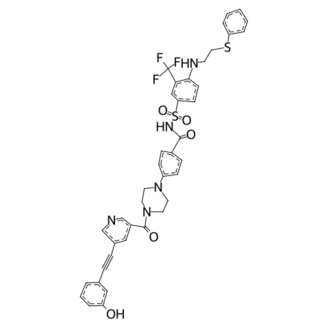 O=C(NS(=O)(=O)c1ccc(NCCSc2ccccc2)c(C(F)(F)F)c1)c1ccc(N2CCN(C(=O)c3cncc(C#Cc4cccc(O)c4)c3)CC2)cc1